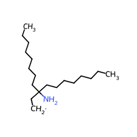 [CH2]CC(N)(CCCCCCCC)CCCCCCCC